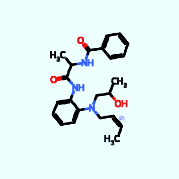 C/C=C\CN(CC(C)O)c1ccccc1NC(=O)C(C)NC(=O)c1ccccc1